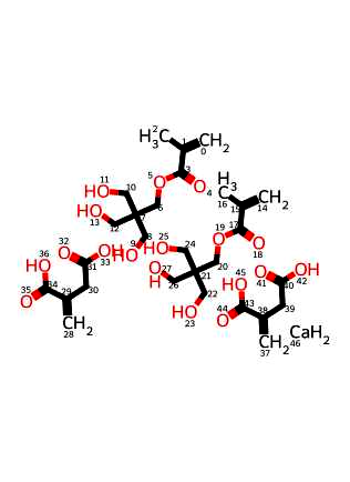 C=C(C)C(=O)OCC(CO)(CO)CO.C=C(C)C(=O)OCC(CO)(CO)CO.C=C(CC(=O)O)C(=O)O.C=C(CC(=O)O)C(=O)O.[CaH2]